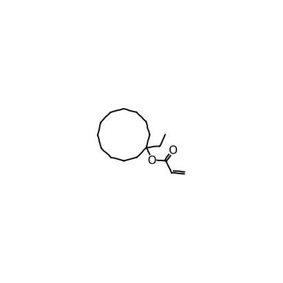 C=CC(=O)OC1(CC)CCCCCCCCCCC1